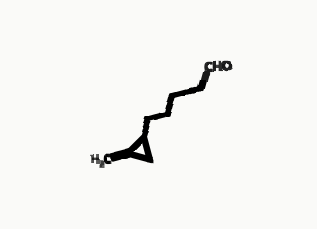 C=C1CC1CCCCC=O